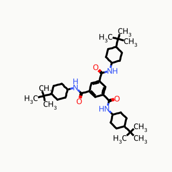 CC(C)(C)C1CCC(NC(=O)c2cc(C(=O)NC3CCC(C(C)(C)C)CC3)cc(C(=O)NC3CCC(C(C)(C)C)CC3)c2)CC1